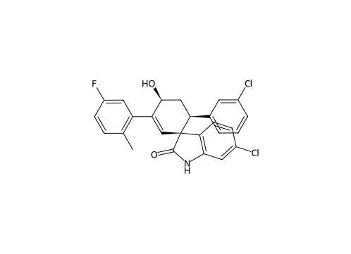 Cc1ccc(F)cc1C1=C[C@@]2(C(=O)Nc3cc(Cl)ccc32)[C@H](c2cccc(Cl)c2)C[C@@H]1O